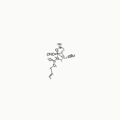 C=CCOC(=O)N1C[C@@H](C(C)(C)C)C[C@@]1(C=O)O[SiH](C)C